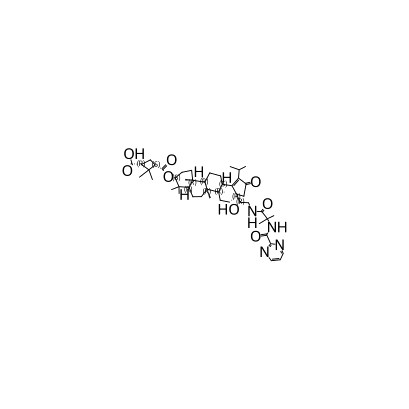 CC(C)C1=C2[C@H]3CC[C@@H]4[C@@]5(C)CC[C@H](OC(=O)[C@H]6C[C@@H](C(=O)O)C6(C)C)C(C)(C)[C@@H]5CC[C@@]4(C)[C@]3(C)CC[C@@]2([C@@H](O)CNC(=O)C(C)(C)NC(=O)c2ncccn2)CC1=O